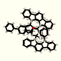 CC1(n2c3ccccc3c3ccc4c5ccccc5n(-c5ccccc5)c4c32)N=C(c2ccc(-c3ccccc3)cc2)N=C(n2c3ccccc3c3ccc4c5ccccc5n(C5=CCCC=C5)c4c32)N1